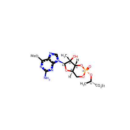 CCOC(=O)[C@H](C)O[P@]1(=O)OC[C@H]2O[C@@H](n3cnc4c(OC)nc(N)nc43)[C@](C)(O)[C@@H]2O1